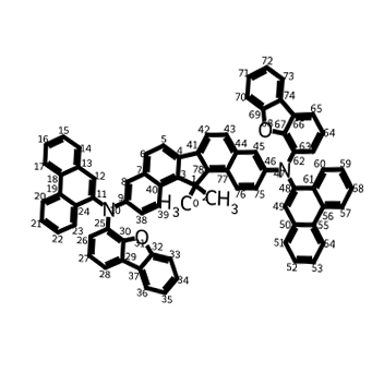 CC1(C)c2c(ccc3cc(N(c4cc5ccccc5c5ccccc45)c4cccc5c4oc4ccccc45)ccc23)-c2ccc3cc(N(c4cc5ccccc5c5ccccc45)c4cccc5c4oc4ccccc45)ccc3c21